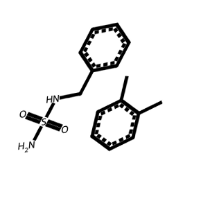 Cc1ccccc1C.NS(=O)(=O)NCc1ccccc1